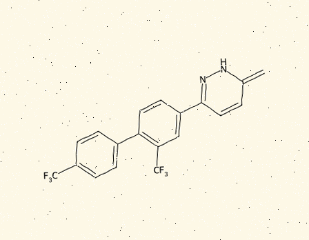 C=C1C=CC(c2ccc(-c3ccc(C(F)(F)F)cc3)c(C(F)(F)F)c2)=NN1